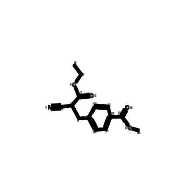 CCOC(=O)C(C#N)Cc1ccc(C(=O)OC)cc1